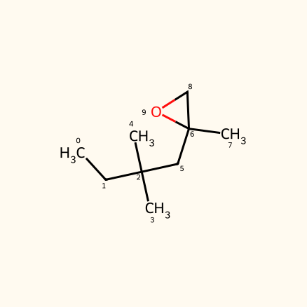 CCC(C)(C)CC1(C)CO1